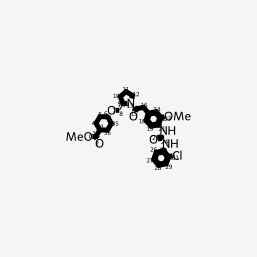 COC(=O)C1CCC(OC[C@@H]2CCCN2C(=O)Cc2ccc(NC(=O)Nc3ccccc3Cl)c(OC)c2)CC1